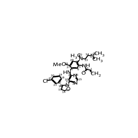 C=CC(=O)Nc1cc(Nc2cc(N3OCC[C@@H]3c3cccc(Cl)c3)ncn2)c(OC)cc1N(C)CCN(C)C